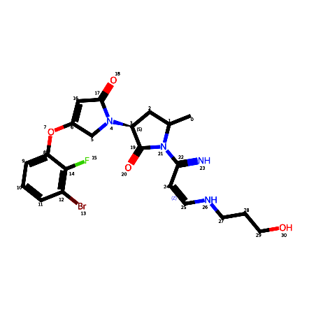 CC1C[C@H](N2CC(Oc3cccc(Br)c3F)=CC2=O)C(=O)N1C(=N)/C=C\NCCCO